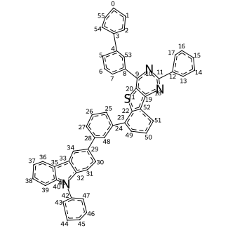 c1ccc(-c2cccc(-c3nc(-c4ccccc4)nc4c3sc3c(-c5cccc(-c6ccc7c(c6)c6ccccc6n7-c6ccccc6)c5)cccc34)c2)cc1